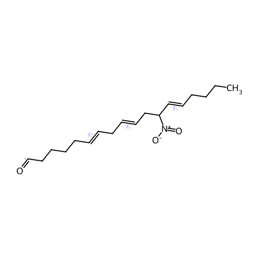 CCCC/C=C/C(C/C=C/C/C=C/CCCC[C]=O)[N+](=O)[O-]